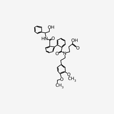 CCOc1ccc(CCN(CCC(=O)O)C(=O)c2ccccc2-c2ccccc2C(=O)NC(CO)c2ccccc2)cc1OC